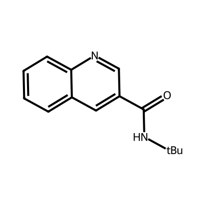 CC(C)(C)NC(=O)c1cnc2ccccc2c1